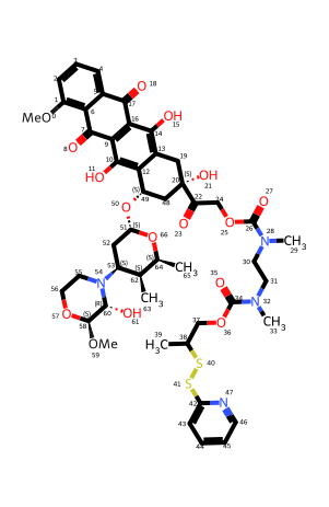 COc1cccc2c1C(=O)c1c(O)c3c(c(O)c1C2=O)C[C@@](O)(C(=O)COC(=O)N(C)CCN(C)C(=O)OCC(C)SSc1ccccn1)C[C@@H]3O[C@H]1C[C@H](N2CCO[C@H](OC)[C@H]2O)[C@H](C)[C@H](C)O1